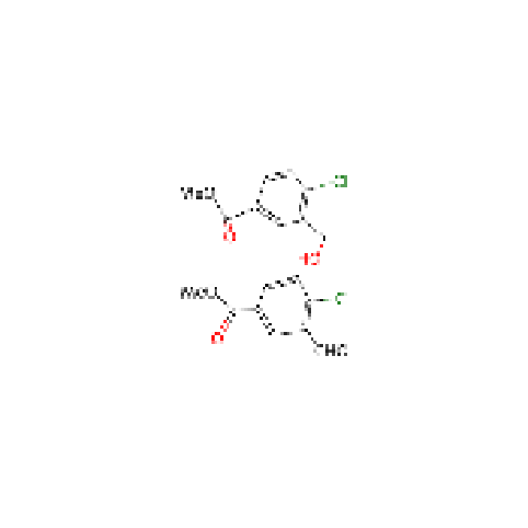 COC(=O)c1ccc(Cl)c(C=O)c1.COC(=O)c1ccc(Cl)c(CO)c1